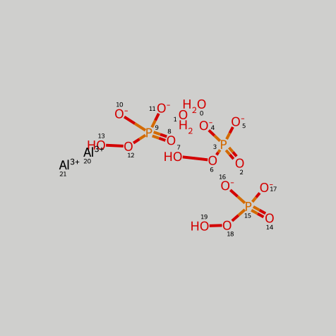 O.O.O=P([O-])([O-])OO.O=P([O-])([O-])OO.O=P([O-])([O-])OO.[Al+3].[Al+3]